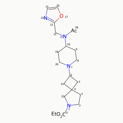 CCOC(=O)N1CCC2(CC(N3CCC(N(Cc4ncco4)C(C)=O)CC3)C2)C1